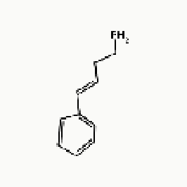 PCCC=Cc1ccccc1